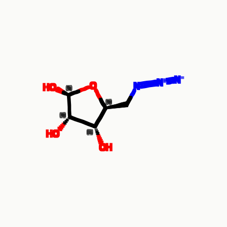 [N-]=[N+]=NC[C@@H]1O[C@H](O)[C@@H](O)[C@H]1O